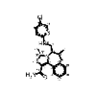 CC(C)C(CNc1ccc(Cl)cn1)N1C(c2ccccc2)=C(C(N)=O)S[C@H]1C